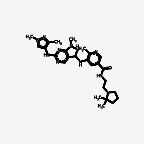 Cc1nn(C)cc1Nc1ncc2c(n1)N(C)NC2Nc1cc(C(=O)NCCN2CCCC2(C)C)cnc1C